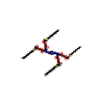 CCCCCCCCCCCCSCC(C)C(=O)OCCOC(=O)CCN(CCCN1CCN(CCCN(CCC(=O)OCCOC(=O)C(C)CSCCCCCCCCCCCC)CCC(=O)OCCOC(=O)C(C)CSCCCCCCCCCCCC)CC1)CCC(=O)OCCOC(=O)C(C)CSCCCCCCCCCCCC